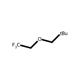 CC(C)(C)COCC(F)(F)F